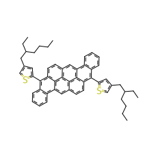 CCCCC(CC)Cc1csc(-c2c3ccccc3c3cc4ccc5c(-c6cc(CC(CC)CCCC)cs6)c6ccccc6c6cc7ccc2c3c7c4c56)c1